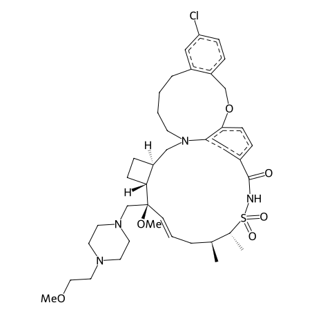 COCCN1CCN(C[C@@]2(OC)/C=C/C[C@H](C)[C@@H](C)S(=O)(=O)NC(=O)c3ccc4c(c3)N(CCCCc3cc(Cl)ccc3CO4)C[C@@H]3CC[C@H]32)CC1